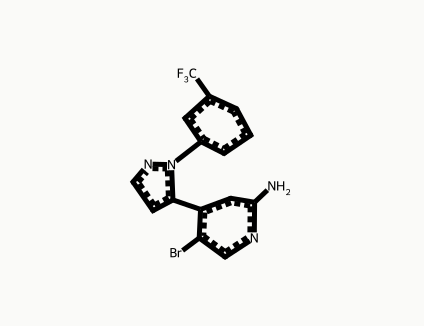 Nc1cc(-c2ccnn2-c2cccc(C(F)(F)F)c2)c(Br)cn1